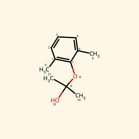 Cc1cccc(C)c1OC(C)(C)O